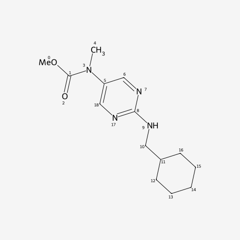 COC(=O)N(C)c1cnc(NCC2CCCCC2)nc1